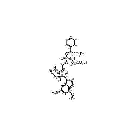 CCOC(=O)C(OP(=O)(N[C@@H](C)C(=O)OCC)OC[C@H]1O[C@@H](n2cnc3c(OCC)nc(N)nc32)[C@](C)(N=[N+]=[N-])[C@@H]1O)c1ccccc1